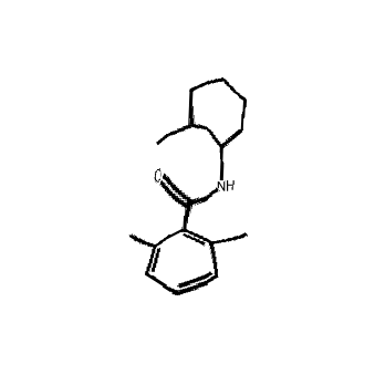 Cc1cccc(C)c1C(=O)NC1CCCCC1C